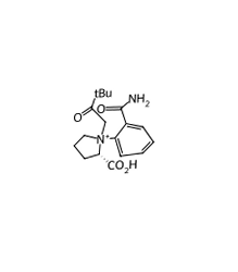 CC(C)(C)C(=O)C[N+]1(c2ccccc2C(N)=O)CCC[C@H]1C(=O)O